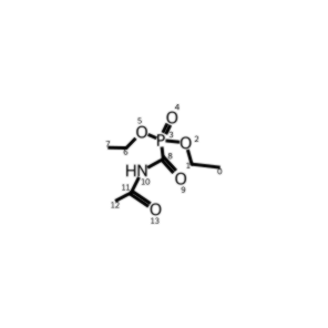 CCOP(=O)(OCC)C(=O)NC(C)=O